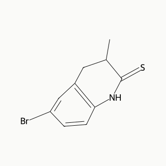 CC1Cc2cc(Br)ccc2NC1=S